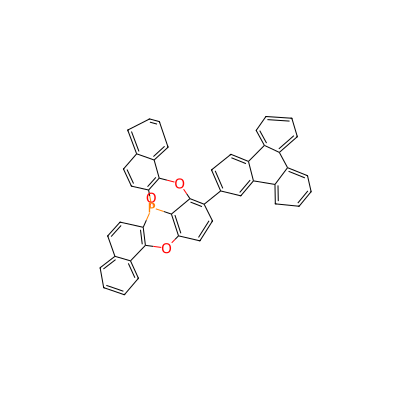 O=P12c3ccc4ccccc4c3Oc3ccc(-c4ccc5c6ccccc6c6ccccc6c5c4)c(c31)Oc1c2ccc2ccccc12